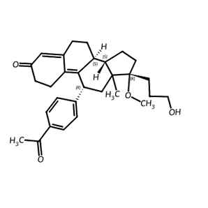 CO[C@@]1(CCCO)CC[C@H]2[C@@H]3CCC4=CC(=O)CCC4=C3[C@@H](c3ccc(C(C)=O)cc3)CC21C